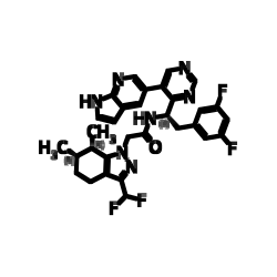 C[C@@H]1CCc2c(C(F)F)nn(CC(=O)N[C@H](Cc3cc(F)cc(F)c3)c3ncncc3-c3cnc4[nH]ccc4c3)c2[C@@H]1C